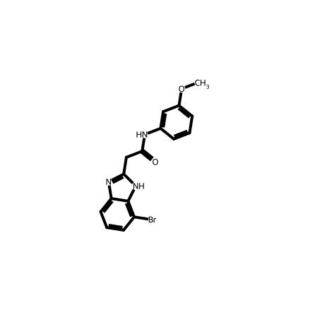 COc1cccc(NC(=O)Cc2nc3cccc(Br)c3[nH]2)c1